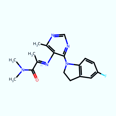 C/C(=N\c1c(C)ncnc1N1CCc2cc(F)ccc21)C(=O)N(C)C